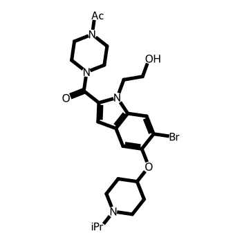 CC(=O)N1CCN(C(=O)c2cc3cc(OC4CCN(C(C)C)CC4)c(Br)cc3n2CCO)CC1